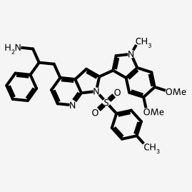 COc1cc2c(-c3cc4c(CC(CN)c5ccccc5)ccnc4n3S(=O)(=O)c3ccc(C)cc3)cn(C)c2cc1OC